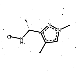 Cc1cn(C)nc1[C@@H](C)NCl